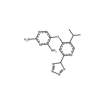 CC(C)c1cnc(C2N=NN=N2)cc1Sc1cnc(N)nc1N